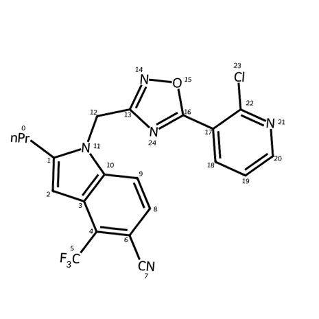 CCCc1cc2c(C(F)(F)F)c(C#N)ccc2n1Cc1noc(-c2cccnc2Cl)n1